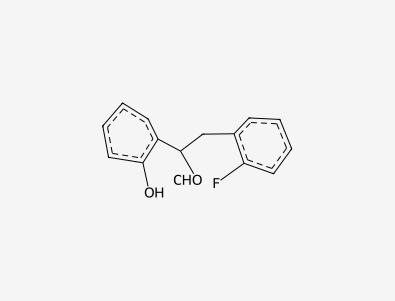 O=CC(Cc1ccccc1F)c1ccccc1O